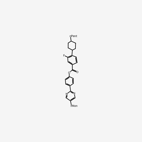 CCCCCCCCCc1cnc(-c2ccc(OC(=O)c3ccc(C4CCC(CCCCC)CC4)c(F)c3)cc2)nc1